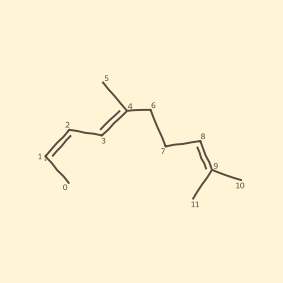 C/[C]=C\C=C(/C)CCC=C(C)C